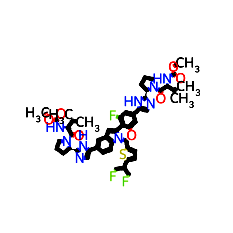 COC(=O)N[C@H](C(=O)N1CCC[C@H]1c1ncc(-c2cc(F)c3c(c2)OC(c2ccc(C(CF)CF)s2)n2c-3cc3cc(-c4cnc([C@@H]5CCCN5C(=O)[C@@H](NC(=O)OC)C(C)C)[nH]4)ccc32)[nH]1)C(C)C